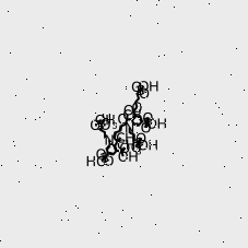 CC1(C)C(/C=C/C=C2/N(CCCS(=O)(=O)O)c3cc(S(=O)(=O)O)cc(C(=O)O)c3C2(C)C)=[N+](CCCS(=O)(=O)O)c2cc(S(=O)(=O)O)cc(C(=O)OCCCS(=O)(=O)O)c21